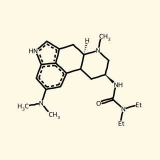 CCN(CC)C(=O)N[C@H]1CC2c3cc(N(C)C)cc4[nH]cc(c34)C[C@H]2N(C)C1